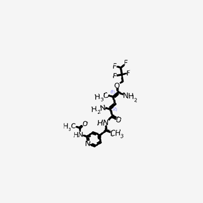 CC(=O)Nc1cc(C(C)NC(=O)/C(N)=C/C(C)=C(\N)OCC(F)(F)C(F)F)ccn1